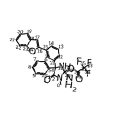 CN1C(=O)C(c2ccccc2)(c2cccc(-c3cc4ccccc4o3)c2)NC1(N)OC(=O)C(F)(F)F